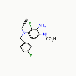 C#CCN(Cc1ccc(F)cc1)c1ccc(NC(=O)O)c(N)c1F